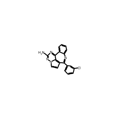 Nc1nc2c3c(ccn3n1)C(c1cccc(Cl)c1)=Nc1ccccc1-2